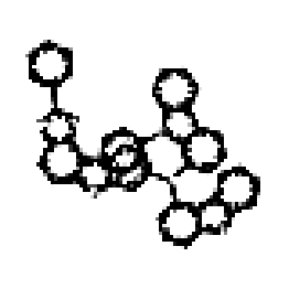 c1ccc(-c2nc3c(ccc4oc5cc(N(c6cccc7sc8ccccc8c67)c6cccc7c8ccccc8n(-c8ccccc8)c67)ccc5c43)o2)cc1